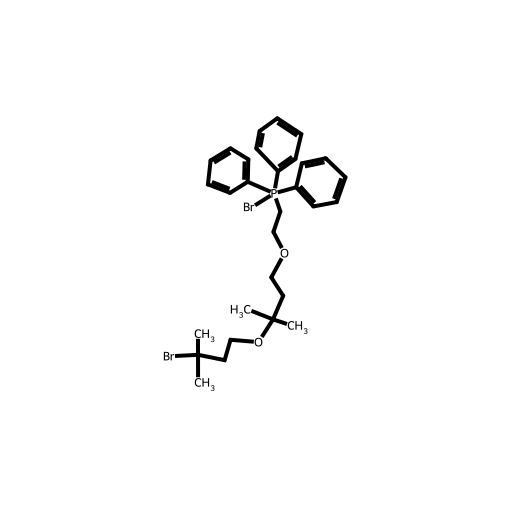 CC(C)(Br)CCOC(C)(C)CCOCCP(Br)(c1ccccc1)(c1ccccc1)c1ccccc1